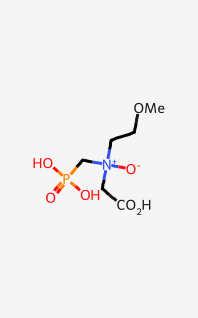 COCC[N+]([O-])(CC(=O)O)CP(=O)(O)O